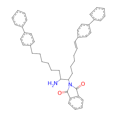 NC(CCCCCCc1ccc(-c2ccccc2)cc1)C(CCCCC=Cc1ccc(-c2ccccc2)cc1)N1C(=O)c2ccccc2C1=O